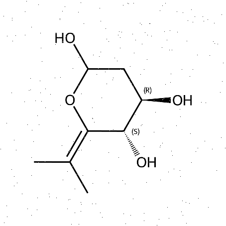 CC(C)=C1OC(O)C[C@@H](O)[C@@H]1O